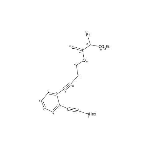 CCCCCCC#Cc1ccccc1C#CCCOC(=O)C(CC)C(=O)OCC